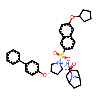 NC1CC2CCC(C1)N2C(=O)[C@@H]1C[C@H](Oc2ccc(-c3ccccc3)cc2)CN1S(=O)(=O)c1ccc2cc(OC3CCCC3)ccc2c1